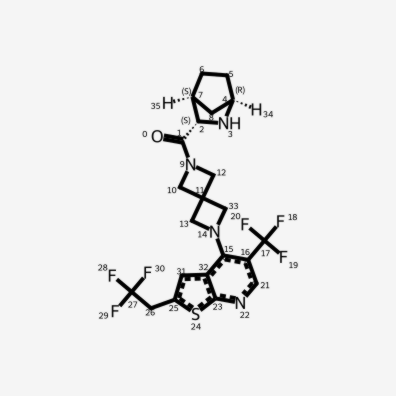 O=C([C@H]1N[C@@H]2CC[C@H]1C2)N1CC2(C1)CN(c1c(C(F)(F)F)cnc3sc(CC(F)(F)F)cc13)C2